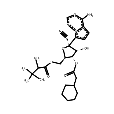 CC(C)(C)C(N)C(=O)OC[C@H]1O[C@@](C#N)(c2ccc3c(N)ncnn23)[C@H](O)[C@@H]1OC(=O)CC1CCCCC1